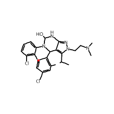 Cc1cc(Cl)ccc1C1c2c(nn(CCN(C)C)c2C(C)C)NC(O)N1c1cccc(Cl)c1F